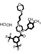 Cc1ccc(C[C@@H]2CN(CC=CCN3CCOCC3)CCN2C(=O)c2cc(C(F)(F)F)cc(C(F)(F)F)c2)cc1C.Cl.Cl